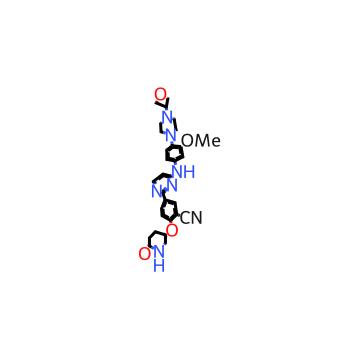 COc1cc(Nc2ccnc(-c3ccc(O[C@@H]4CCC(=O)NC4)c(C#N)c3)n2)ccc1N1CCN(C2COC2)CC1